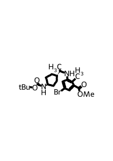 COC(=O)c1cc(Br)cc(NC(C)[C@H]2CC[C@H](NC(=O)OC(C)(C)C)CC2)c1C